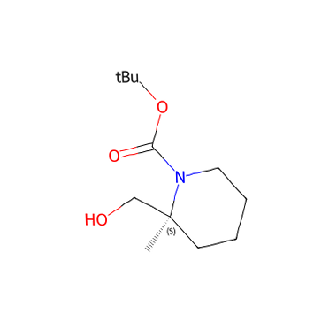 CC(C)(C)OC(=O)N1CCCC[C@@]1(C)CO